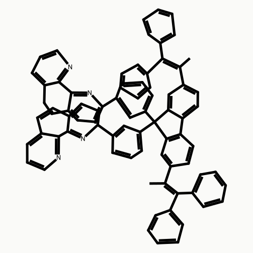 CC(=C(c1ccccc1)c1ccccc1)c1ccc2c(c1)C(c1cccc(-c3ccc4c(n3)-c3ncccc3CC4)c1)(c1cccc(-c3ccc4ccc5cccnc5c4n3)c1)c1cc(C(C)=C(c3ccccc3)c3ccccc3)ccc1-2